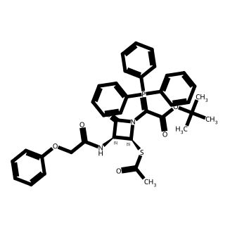 CC(=O)S[C@H]1[C@@H](NC(=O)COc2ccccc2)C(=O)N1C(C(=O)OC(C)(C)C)=P(c1ccccc1)(c1ccccc1)c1ccccc1